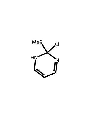 CSC1(Cl)N=CC=CN1